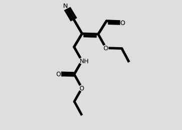 CCOC(=O)NCC(C#N)=C(C=O)OCC